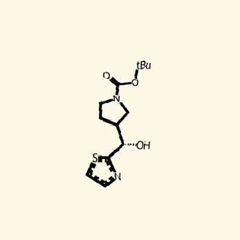 CC(C)(C)OC(=O)N1CCC([C@H](O)c2nccs2)C1